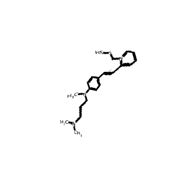 CN(C)CCCN(C)c1ccc(/C=C/c2cccc[n+]2CSS)cc1